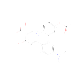 CC(=O)Oc1ccc(-n2cc(C(=O)O)c(=O)cc2-c2ccc(N(C)C)cc2)cc1